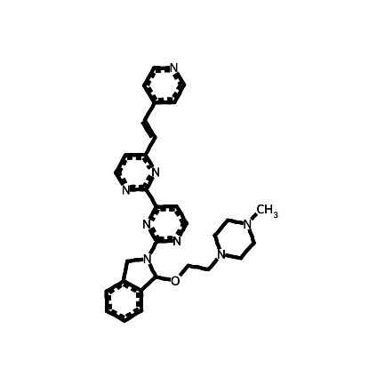 CN1CCN(CCOC2c3ccccc3CN2c2nccc(-c3nccc(/C=C/c4ccncc4)n3)n2)CC1